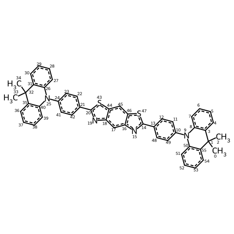 CC1(C)c2ccccc2N(c2ccc(-c3nc4cc5nc(-c6ccc(N7c8ccccc8C(C)(C)c8ccccc87)cc6)sc5cc4s3)cc2)c2ccccc21